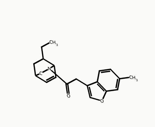 CCC1CC2C=CC1N(C(=O)Cc1coc3cc(C)ccc13)C2